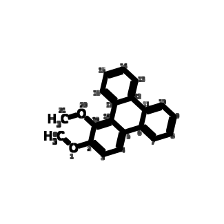 COc1ccc2c3ccccc3c3ccccc3c2c1OC